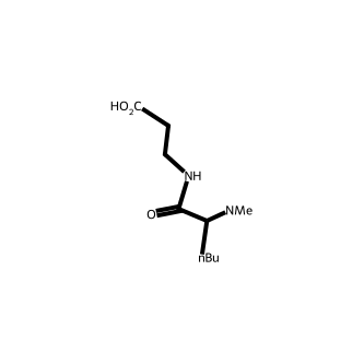 [13CH3]CCCC(N[13CH3])C(=O)NCCC(=O)O